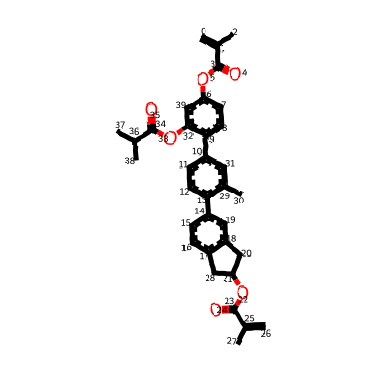 C=C(C)C(=O)Oc1ccc(-c2ccc(-c3ccc4c(c3)CC(OC(=O)C(=C)C)C4)c(C)c2)c(OC(=O)C(C)C)c1